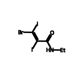 CCNC(=O)C(I)=C(Br)I